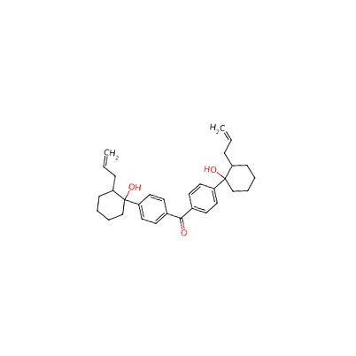 C=CCC1CCCCC1(O)c1ccc(C(=O)c2ccc(C3(O)CCCCC3CC=C)cc2)cc1